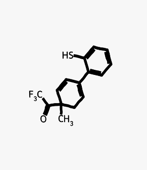 CC1(C(=O)C(F)(F)F)C=CC(c2ccccc2S)=CC1